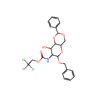 O=C(NC1C(OCc2ccccc2)OC2COC(c3ccccc3)OC2C1O)OCC(Cl)(Cl)Cl